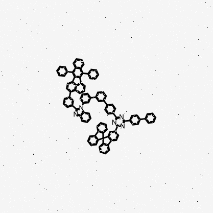 c1ccc(-c2ccc(-c3nc(-c4ccc(-c5cccc(-c6cccc(-n7c(-c8cccc(-c9ccc%10c%11c(cccc9%11)-c9c-%10c(-c%10ccccc%10)c%10ccccc%10c9-c9ccccc9)c8)nc8ccccc87)c6)c5)cc4)nc(-c4ccc5c(c4)C4(c6ccccc6-c6ccccc64)c4ccccc4-5)n3)cc2)cc1